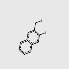 ICc1cc2ccccc2cc1I